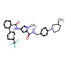 CC1CCCN(c2ccc(CNC(=O)c3cc(NC(=O)c4ccccc4-c4ccc(C(F)(F)F)cc4)cn3C)cc2)C1